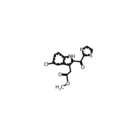 COC(=O)Cc1c(C(=O)c2nccs2)[nH]c2ccc(Cl)cc12